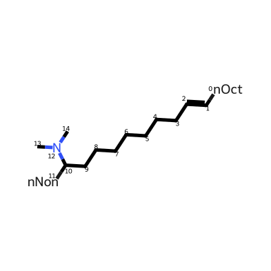 CCCCCCCCC=CCCCCCCCC(CCCCCCCCC)N(C)C